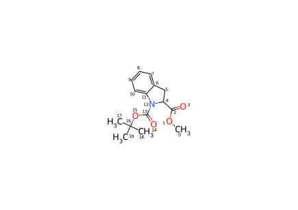 COC(=O)C1Cc2ccccc2N1C(=O)OC(C)(C)C